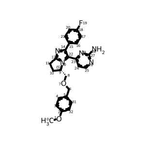 COc1ccc(COC[C@@H]2CCc3nc(-c4ccc(F)cc4)c(-c4ccnc(N)n4)n32)cc1